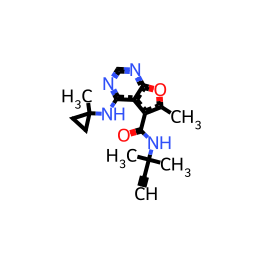 C#CC(C)(C)NC(=O)c1c(C)oc2ncnc(NC3(C)CC3)c12